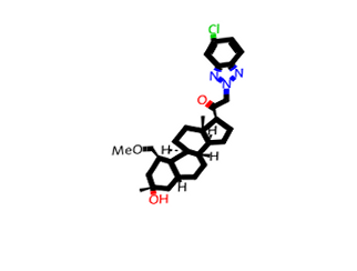 COC[C@@H]1C[C@@](C)(O)C[C@H]2CC[C@@H]3[C@H](CC[C@]4(C)[C@@H](C(=O)Cn5nc6ccc(Cl)cc6n5)CC[C@@H]34)C21